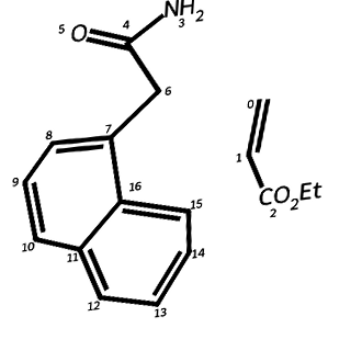 C=CC(=O)OCC.NC(=O)Cc1cccc2ccccc12